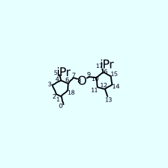 CC1CCC(C(C)C)C(COCC2CC(C)CCC2C(C)C)C1